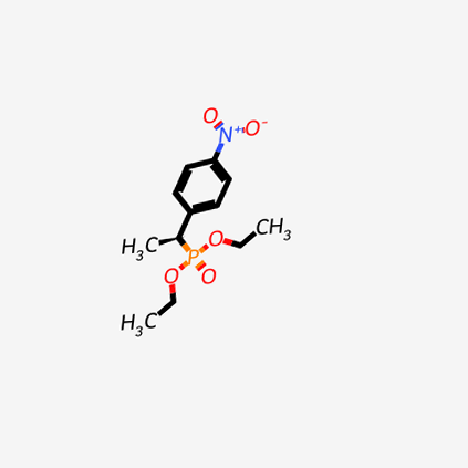 CCOP(=O)(OCC)[C@@H](C)c1ccc([N+](=O)[O-])cc1